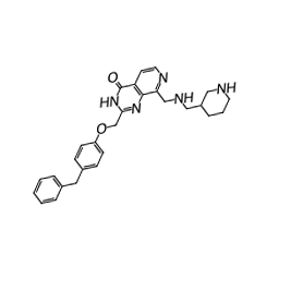 O=c1[nH]c(COc2ccc(Cc3ccccc3)cc2)nc2c(CNCC3CCCNC3)nccc12